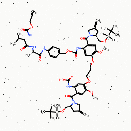 C=CCOC(=O)N[C@H](C(=O)N[C@@H](C)C(=O)Nc1ccc(COC(=O)Nc2cc(OCCCOc3cc(NC(=O)O)c(C(=O)N4CC(=C)C[C@H]4CO[Si](C)(C)C(C)(C)C)cc3OC)c(OC)cc2C(=O)N2CC(=C)C[C@H]2CO[Si](C)(C)C(C)(C)C)cc1)C(C)C